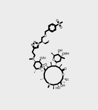 CC[C@H]1OC(=O)[C@H](C)[C@@H](C2C[C@@](C)(OC)[C@@H](O)[C@H](C)O2)[C@H](C)[C@@H](O[C@@H]2O[C@H](C)C[C@H](N(C)CCc3cn([C@H](CF)COCc4ccc(S(C)(=O)=O)cc4)nn3)[C@H]2OC(C)=O)[C@](C)(O)C[C@@H](C)CN(C)[C@H](C)[C@@H](O)[C@]1(C)O